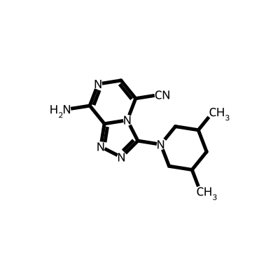 CC1CC(C)CN(c2nnc3c(N)ncc(C#N)n23)C1